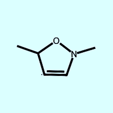 CC1[C]=CN(C)O1